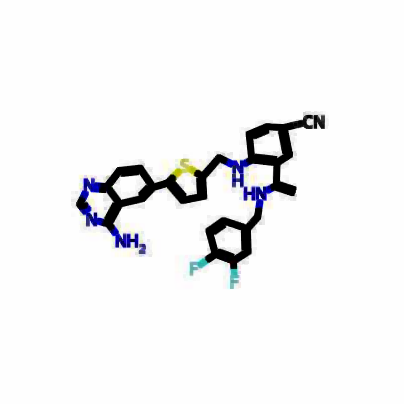 C=C(NCc1ccc(F)c(F)c1)c1cc(C#N)ccc1NCc1ccc(-c2ccc3ncnc(N)c3c2)s1